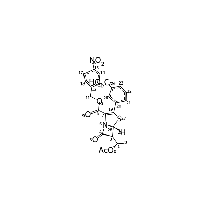 CC(=O)O[C@H](C)[C@H]1C(=O)N2C(C(=O)OCc3ccc([N+](=O)[O-])cc3)=C(c3cccc(C(=O)O)c3)S[C@H]12